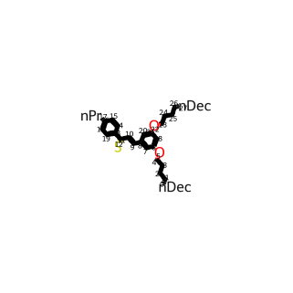 CCCCCCCCCCCCCCOc1cc(C=CC(=S)c2ccc(CCC)cc2)cc(OCCCCCCCCCCCCCC)c1